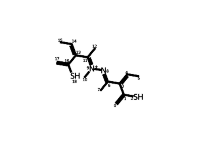 C=C(S)/C(=C\C)C(C)=N/[N+](C)=C(C)/C(=C/C)C(=C)S